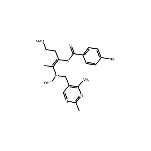 COCC/C(SC(=O)c1ccc(C(C)(C)C)cc1)=C(\C)N(C=O)Cc1cnc(C)nc1N